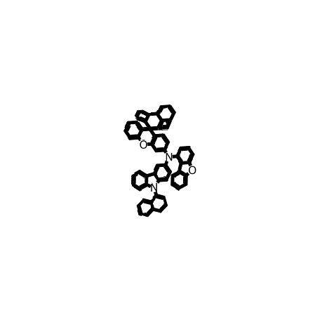 c1ccc2c(c1)Oc1cc(N(c3ccc4c(c3)c3ccccc3n4-c3cccc4ccccc34)c3cccc4oc5ccccc5c34)ccc1C21c2ccccc2-c2cccc3cccc1c23